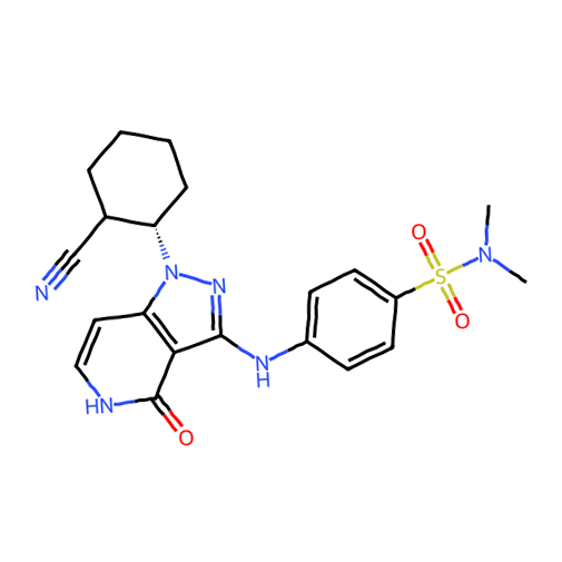 CN(C)S(=O)(=O)c1ccc(Nc2nn([C@H]3CCCCC3C#N)c3cc[nH]c(=O)c23)cc1